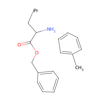 CC(C)CC(N)C(=O)OCc1ccccc1.Cc1ccccc1